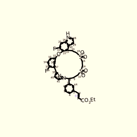 CCOC(=O)/C=C/c1cccc(C2CCS(=O)(=O)CCS(=O)(=O)CCc3c(c(F)cc4[nH]ccc34)Oc3ccc(F)c(c3)-c3ccn2n3)c1